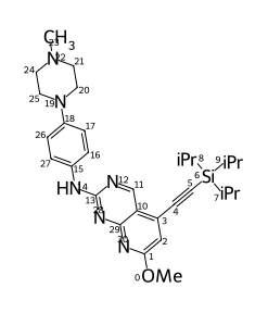 COc1cc(C#C[Si](C(C)C)(C(C)C)C(C)C)c2cnc(Nc3ccc(N4CCN(C)CC4)cc3)nc2n1